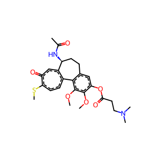 COc1c(OC(=O)CCN(C)C)cc2c(c1OC)-c1ccc(SC)c(=O)cc1[C@@H](NC(C)=O)CC2